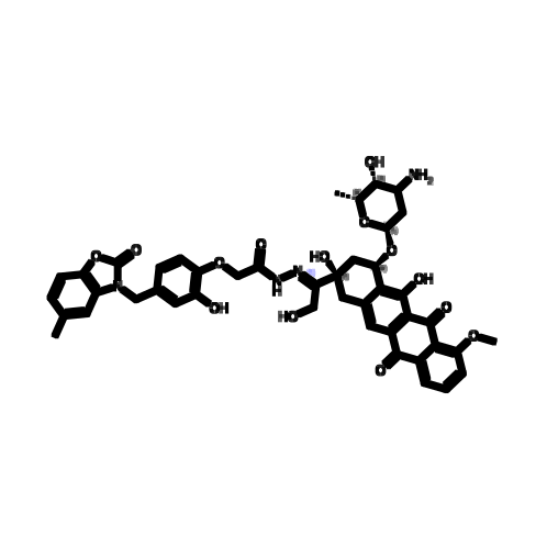 COc1cccc2c1C(=O)c1c(cc3c(c1O)[C@H](O[C@@H]1CC(N)[C@@H](O)[C@@H](C)O1)C[C@@](O)(/C(CO)=N/NC(=O)COc1ccc(Cn4c(=O)oc5ccc(C)cc54)cc1O)C3)C2=O